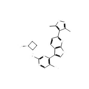 Cc1noc(C)c1-c1ccc2c(-c3nc(N[C@H]4CC[C@@H]4N)ncc3C(F)(F)F)c[nH]c2n1